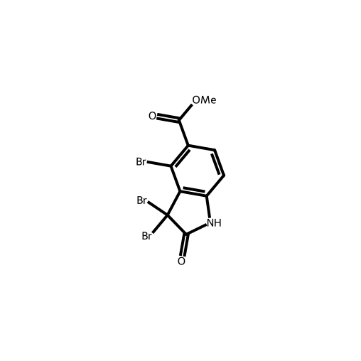 COC(=O)c1ccc2c(c1Br)C(Br)(Br)C(=O)N2